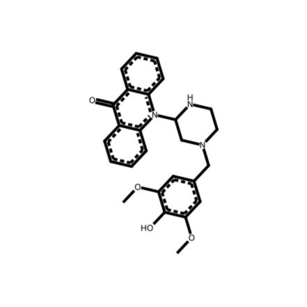 COc1cc(CN2CCNC(n3c4ccccc4c(=O)c4ccccc43)C2)cc(OC)c1O